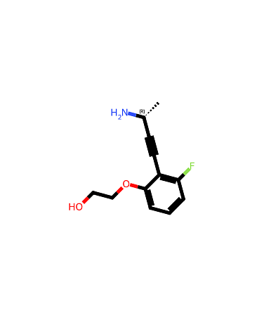 C[C@@H](N)C#Cc1c(F)cccc1OCCO